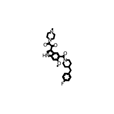 COc1cc2[nH]cc(C(=O)C(=O)N3CCN(C)CC3)c2cc1C(=O)N1CCC(Cc2ccc(F)cc2)CC1